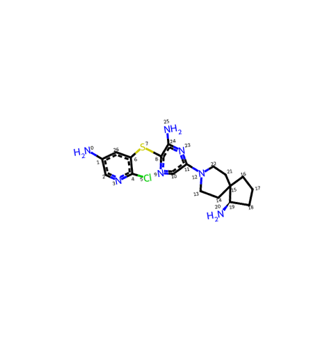 Nc1cnc(Cl)c(Sc2ncc(N3CCC4(CCC[C@H]4N)CC3)nc2N)c1